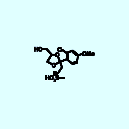 COc1ccc(C2(CBr)OCC(CO)O2)c(Cl)c1.CS(=O)(=O)O